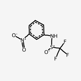 O=[N+]([O-])c1cccc(N[S+]([O-])C(F)(F)F)c1